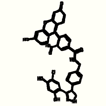 O=C(NCc1ccc(C2CNN=C2c2cc(Cl)c(O)cc2O)cc1)c1ccc(-c2c3ccc(=O)cc-3oc3cc(O)ccc23)c(C(=O)O)c1